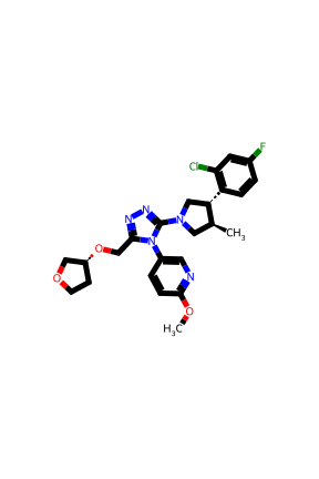 COc1ccc(-n2c(CO[C@@H]3CCOC3)nnc2N2C[C@H](c3ccc(F)cc3Cl)[C@@H](C)C2)cn1